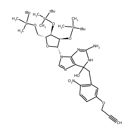 C#CCOc1ccc([N+](=O)[O-])c(CC2(O)NC(N)=Nc3c2ncn3[C@@H]2O[C@H](CO[Si](C)(C)C(C)(C)C)[C@@H](O[Si](C)(C)C(C)(C)C)[C@H]2O[Si](C)(C)C(C)(C)C)c1